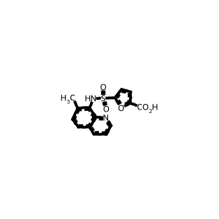 Cc1ccc2cccnc2c1NS(=O)(=O)c1ccc(C(=O)O)o1